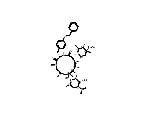 CO[C@]1(C)C[C@H](O[C@H]2[C@H](C)[C@@H](O[C@@H]3O[C@H](C)C[C@H](N(C)C)[C@H]3O)[C@](C)(O)C[C@@H](C)CN(C)C(=O)[C@H](Cc3ccc(OCc4ccccc4)cc3)NC(=O)[C@@H]2C)O[C@@H](C)[C@@H]1O